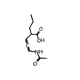 CCCC(C=C=CNC(C)=O)C(=O)O